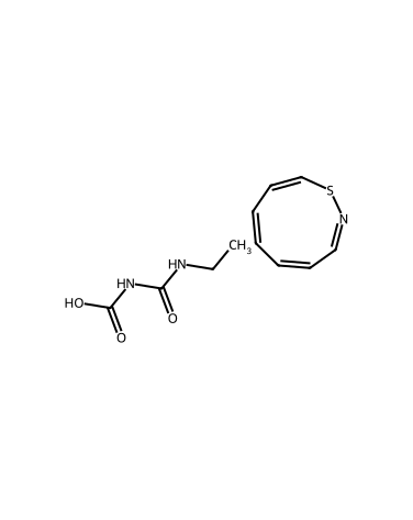 CCNC(=O)NC(=O)O.c1cccnsccc1